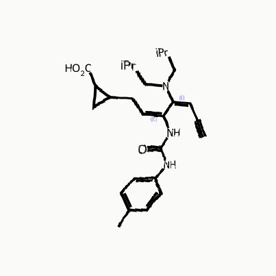 C#C/C=C(\C(=C/CC1CC1C(=O)O)NC(=O)Nc1ccc(C)cc1)N(CC(C)C)CC(C)C